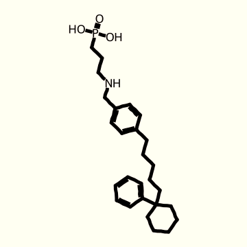 O=P(O)(O)CCCNCc1ccc(CCCCCC2(c3ccccc3)CCCCC2)cc1